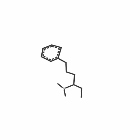 CCC(CCCc1ccccc1)N(C)C